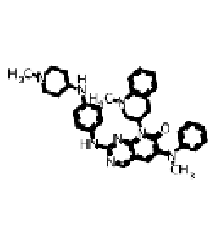 CN1CCC(Nc2ccc(Nc3ncc4cc(N(C)c5ccccc5)c(=O)n(C5Cc6ccccc6N(C)C5)c4n3)cc2)CC1